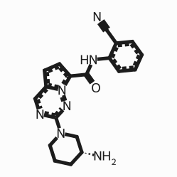 N#Cc1ccccc1NC(=O)c1ccc2cnc(N3CCC[C@@H](N)C3)nn12